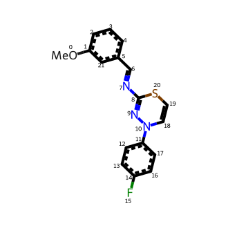 COc1cccc(C=NC2=NN(c3ccc(F)cc3)C=CS2)c1